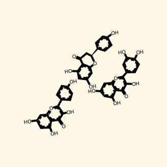 O=C1C[C@@H](c2ccc(O)cc2)Oc2cc(O)cc(O)c21.O=c1c(O)c(-c2ccc(O)c(O)c2)oc2cc(O)cc(O)c12.O=c1c(O)c(-c2ccc(O)cc2)oc2cc(O)cc(O)c12